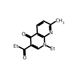 CCC(=O)c1cn(CC)c2nc(C)ccc2c1=O